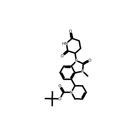 Cn1c(=O)n(C2CCC(=O)NC2=O)c2cccc(C3CC=CCN3C(=O)OC(C)(C)C)c21